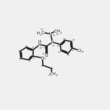 CCCOc1ccccc1NC(=O)N(c1ccc(Cl)cc1)N(C)C